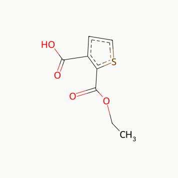 CCOC(=O)c1sccc1C(=O)O